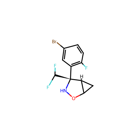 Fc1ccc(Br)cc1[C@@]1(C(F)F)NOC2C[C@@H]21